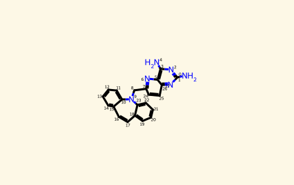 Nc1nc(N)c2nc(CN3c4ccccc4C=Cc4ccccc43)ccc2n1